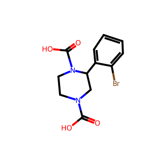 O=C(O)N1CCN(C(=O)O)C(c2ccccc2Br)C1